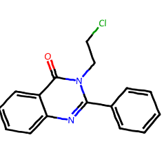 O=c1c2ccccc2nc(-c2ccccc2)n1CCCl